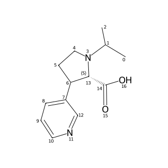 CC(C)N1CCC(c2cccnc2)[C@H]1C(=O)O